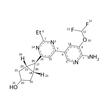 CCc1nc(-c2cnc(N)c(OC(F)F)c2)cc([C@H]2[C@@H]3CC(O)C[C@@H]32)n1